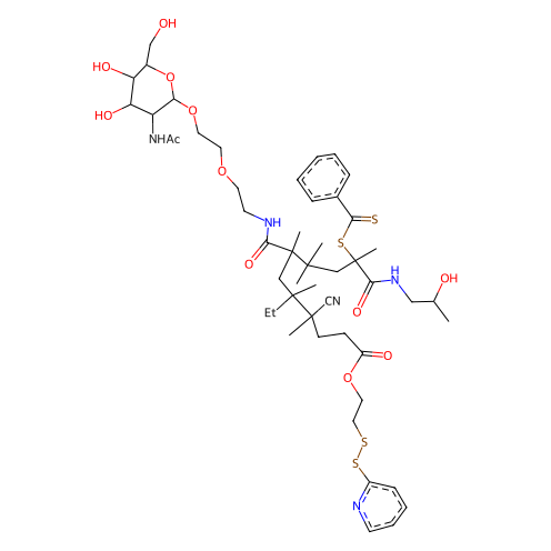 CCC(C)(CC(C)(C(=O)NCCOCCOC1OC(CO)C(O)C(O)C1NC(C)=O)C(C)(C)CC(C)(SC(=S)c1ccccc1)C(=O)NCC(C)O)C(C)(C#N)CCC(=O)OCCSSc1ccccn1